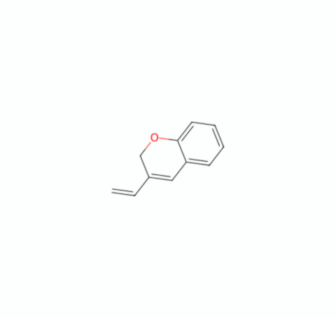 C=CC1=Cc2ccccc2OC1